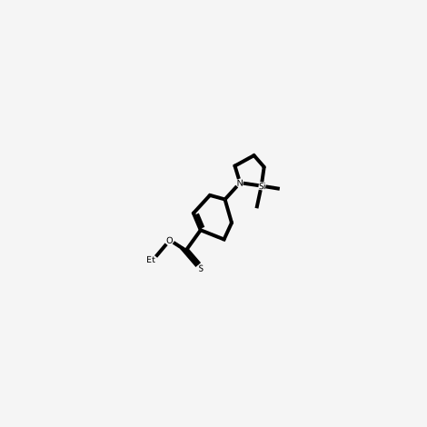 CCOC(=S)C1=CCC(N2CCC[Si]2(C)C)CC1